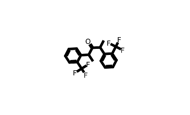 CC(C(=O)C(C)c1ccccc1C(F)(F)F)c1ccccc1C(F)(F)F